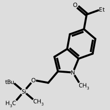 CCC(=O)c1ccc2c(c1)cc(CO[Si](C)(C)C(C)(C)C)n2C